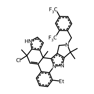 CCc1cccc2c1-n1nc3c(c1C1(C)C2=CC(C)(Cl)c2[nH]ccc21)CN(Cc1ccc(C(F)(F)F)cc1C(F)(F)F)C3(C)C